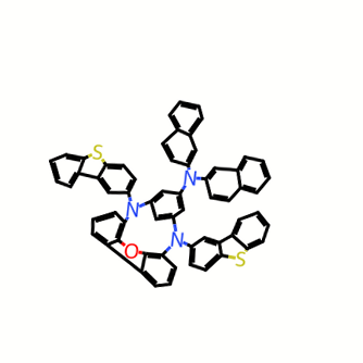 c1ccc2cc(N(c3cc4cc(c3)N(c3ccc5sc6ccccc6c5c3)c3cccc5c3oc3c(cccc35)N4c3ccc4sc5ccccc5c4c3)c3ccc4ccccc4c3)ccc2c1